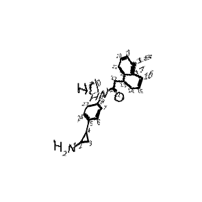 Cl.NC1CC1c1ccc(NC(=O)Cc2cccc3ccccc23)cc1